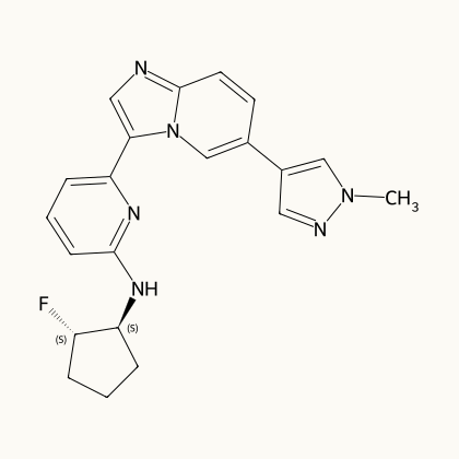 Cn1cc(-c2ccc3ncc(-c4cccc(N[C@H]5CCC[C@@H]5F)n4)n3c2)cn1